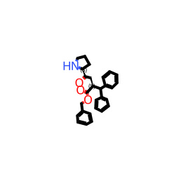 O=C(C[C@H](C(=O)OCc1ccccc1)C(c1ccccc1)c1ccccc1)[C@@H]1CCCN1